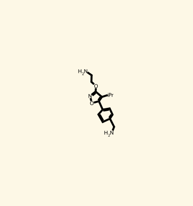 CC(C)c1c(OCCN)noc1-c1ccc(CN)cc1